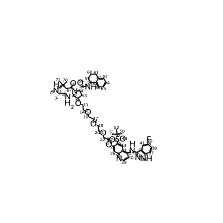 CN[C@@H](C)C(N)[C@@H](C(=O)N1C[C@@H](OCCOCCOCCOCCOc2cc3nccc(Nc4n[nH]c5ccc(F)cc45)c3cc2S(=O)(=O)C(C)(C)C)C[C@H]1C(=O)N[C@@H]1CCCc2ccccc21)C(C)(C)C